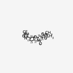 CN(C)S(=O)(=O)N1CC(=O)N(Cc2ccc(-c3noc(C(F)(F)F)n3)cc2)C(=O)C1